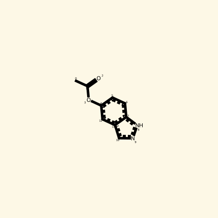 CC(=O)Oc1ccc2[nH]ncc2c1